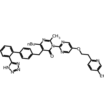 CCCCc1nc(C)n(-c2ncc(OCCc3ccc(CC)cn3)cn2)c(=O)c1Cc1ccc(-c2ccccc2-c2nnn[nH]2)cc1